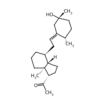 CC(=O)[C@H]1CC[C@H]2[C@H](C/C=C3/C[C@](C)(O)CC[C@@H]3C)CCC[C@]12C